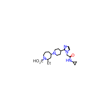 CCC1CC(N2CCC(c3nccn3CC(=O)NC3CC3)CC2)CCCN1C(=O)O